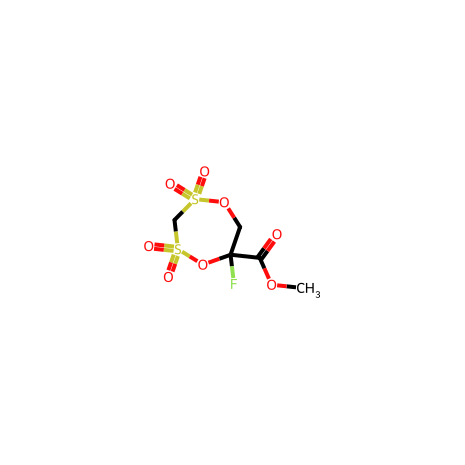 COC(=O)C1(F)COS(=O)(=O)CS(=O)(=O)O1